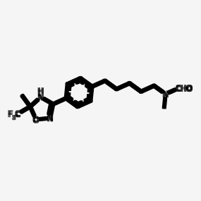 CN(C=O)CCCCCc1ccc(C2=NOC(C)(C(F)(F)F)N2)cc1